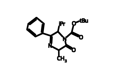 CC1N=C(c2ccccc2)C(C(C)C)N(C(=O)OC(C)(C)C)C1=O